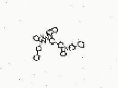 c1ccc(-c2ccc(-c3nc(-n4c5ccc(-c6ccc7c(c6)c6ccccc6n7-c6ccc(-c7ccccc7)cc6)cc5c5c6ccccc6ccc54)nc4ccccc34)cc2)cc1